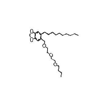 CCCCCCCCCCc1cc2c(cc1COCCOCCOCCCC)OCO2